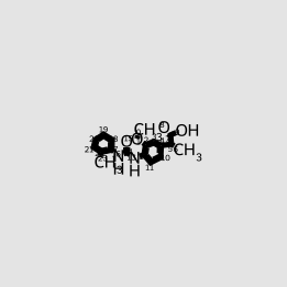 COc1cc(C(C)C(=O)O)ccc1NC(=O)Nc1ccccc1C